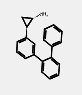 N[C@H]1C[C@@H]1c1cccc(-c2ccccc2-c2ccccc2)c1